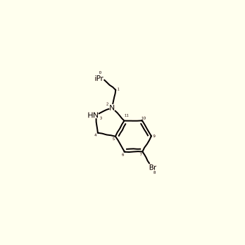 CC(C)CN1NCc2cc(Br)ccc21